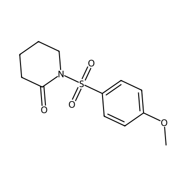 COc1ccc(S(=O)(=O)N2CCCCC2=O)cc1